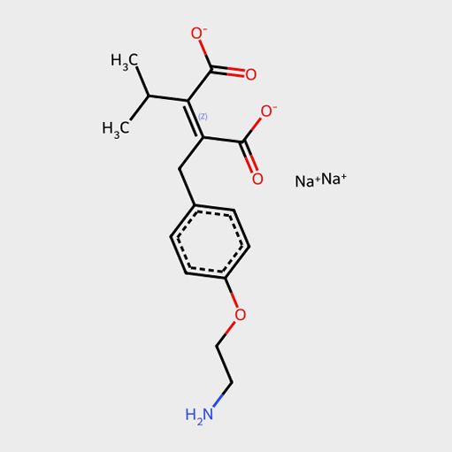 CC(C)/C(C(=O)[O-])=C(\Cc1ccc(OCCN)cc1)C(=O)[O-].[Na+].[Na+]